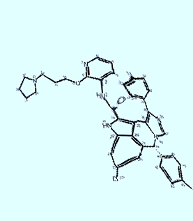 O=C(Nc1cccnc1OCCCN1CCCC1)c1[nH]c2cc(Cl)cc3c2c1-c1c(-c2ccccc2)ncn1[C@@H]3c1ccc(Cl)cc1